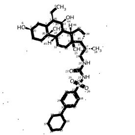 CC[C@@H]1C2C[C@H](O)CC[C@@]2(C)[C@H]2CCC3(C)[C@@H]([C@H](C)CNC(=O)NS(=O)(=O)c4ccc(C5CCCCC5)cc4)CC[C@H]3C2[C@@H]1O